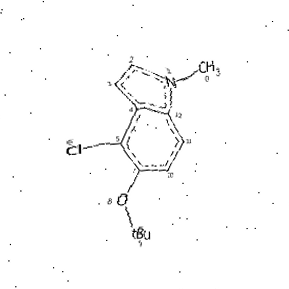 Cn1ccc2c(Cl)c(OC(C)(C)C)ccc21